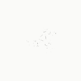 CCN(C(=O)[O-])[C@@H]1C[C@H](C)[N+](C)(C(C)=O)c2ccc(-c3noc(CN)n3)cc21.Cl